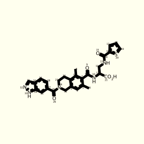 Cc1cc2c(c(C)c1C(=O)NC(CNC(=O)c1cccs1)C(=O)O)CCN(C(=O)c1ccc3cn[nH]c3c1)C2